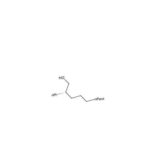 CCCCCCCC[C@@H](CO)CCC